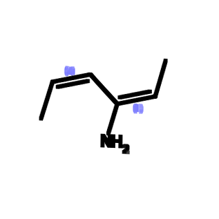 C/C=C\C(N)=C/C